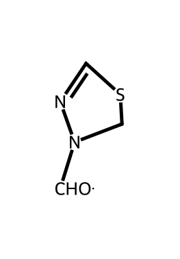 O=[C]N1CSC=N1